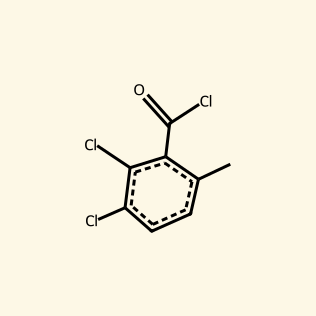 Cc1ccc(Cl)c(Cl)c1C(=O)Cl